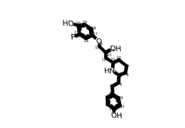 Oc1ccc(CCC2CCCC(CC(O)COc3ccc(O)c(F)c3)N2)cc1